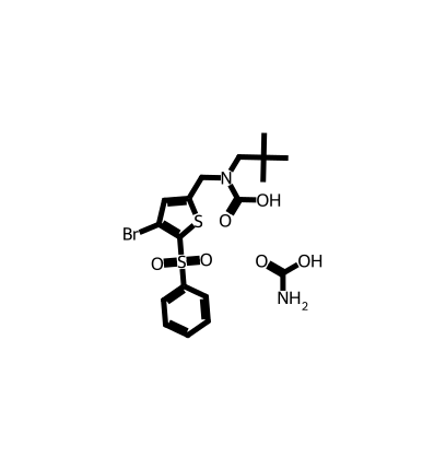 CC(C)(C)CN(Cc1cc(Br)c(S(=O)(=O)c2ccccc2)s1)C(=O)O.NC(=O)O